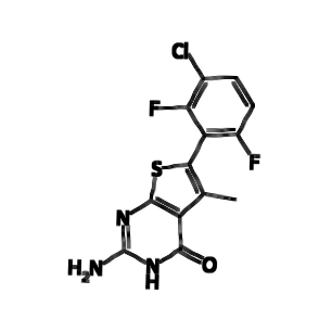 Cc1c(-c2c(F)ccc(Cl)c2F)sc2nc(N)[nH]c(=O)c12